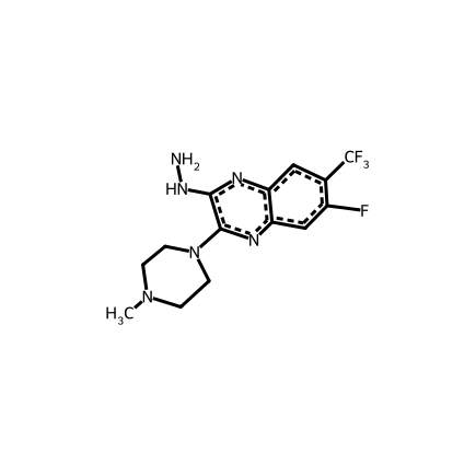 CN1CCN(c2nc3cc(F)c(C(F)(F)F)cc3nc2NN)CC1